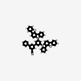 N#Cc1cc(-c2ccccc2)cc(-c2cc(-n3c4ccccc4c4c5oc6ccccc6c5ccc43)cc(-n3c4ccccc4c4c5oc6ccccc6c5ccc43)c2)c1